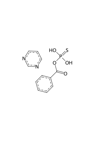 O=C(OP(O)(O)=S)c1ccccc1.c1cncnc1